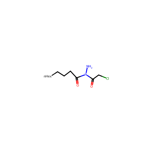 CCCCCCCCCC(=O)N(N)C(=O)CCl